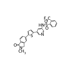 CN1Cc2cc(-c3ccc(-c4cncc(NS(=O)(=O)c5ccccc5C(F)(F)F)c4)s3)ccc2C1=O